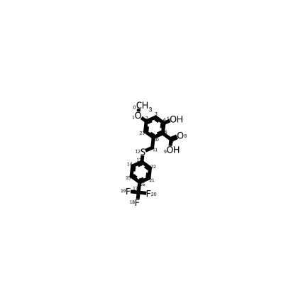 COc1cc(O)c(C(=O)O)c(CSc2ccc(C(F)(F)F)cc2)c1